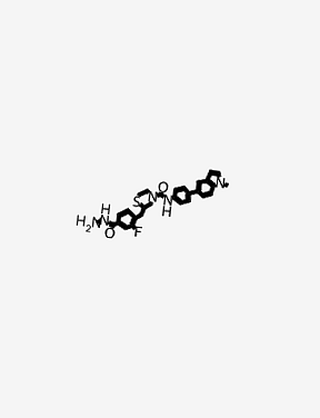 Cn1ccc2cc(-c3ccc(NC(=O)N4CCSC(Cc5ccc(C(=O)NN)cc5F)C4)cc3)ccc21